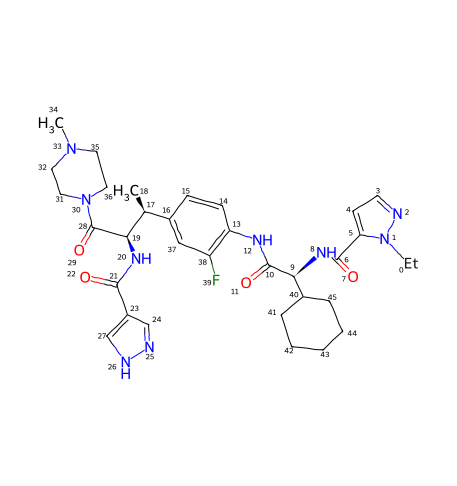 CCn1nccc1C(=O)N[C@H](C(=O)Nc1ccc([C@H](C)[C@@H](NC(=O)c2cn[nH]c2)C(=O)N2CCN(C)CC2)cc1F)C1CCCCC1